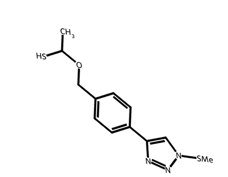 CSn1cc(-c2ccc(COC(C)S)cc2)nn1